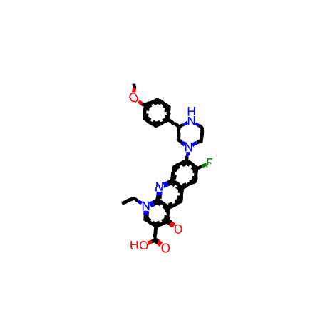 CCn1cc(C(=O)O)c(=O)c2cc3cc(F)c(N4CCNC(c5ccc(OC)cc5)C4)cc3nc21